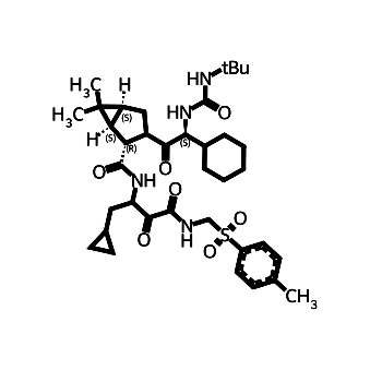 Cc1ccc(S(=O)(=O)CNC(=O)C(=O)C(CC2CC2)NC(=O)[C@H]2C(C(=O)[C@@H](NC(=O)NC(C)(C)C)C3CCCCC3)C[C@H]3[C@@H]2C3(C)C)cc1